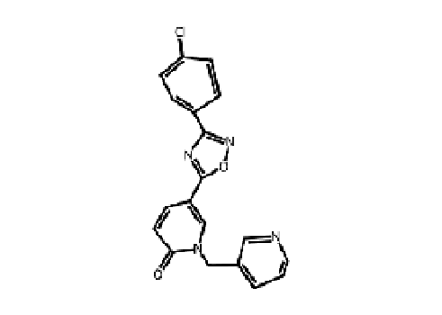 O=c1ccc(-c2nc(-c3ccc(Cl)cc3)no2)cn1Cc1cccnc1